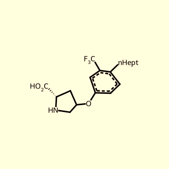 CCCCCCCc1ccc(OC2CN[C@H](C(=O)O)C2)cc1C(F)(F)F